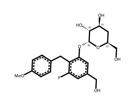 COc1ccc(Cc2c(F)cc(CO)cc2O[C@H]2O[C@H](CO)C[C@H](O)[C@H]2O)cc1